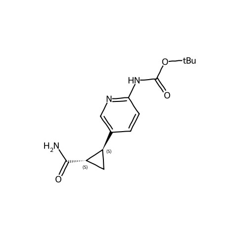 CC(C)(C)OC(=O)Nc1ccc([C@H]2C[C@@H]2C(N)=O)cn1